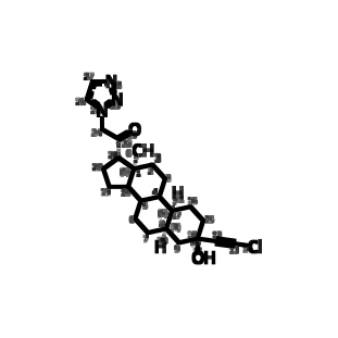 C[C@]12CCC3C(CC[C@@H]4C[C@@](O)(C#CCl)CC[C@H]34)C1CC[C@@H]2C(=O)Cn1ccnn1